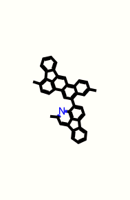 Cc1ccc2c(c1)c(-c1ccc3c4c(cc(C)nc14)-c1ccccc1-3)cc1c3ccc(C)c4c3c(cc21)-c1ccccc1-4